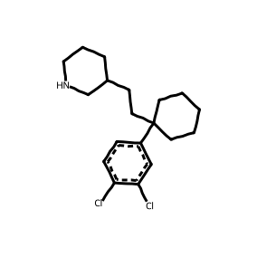 Clc1ccc(C2(CCC3CCCNC3)CCCCC2)cc1Cl